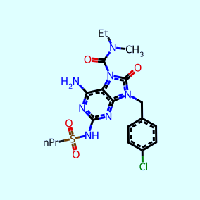 CCCS(=O)(=O)Nc1nc(N)c2c(n1)n(Cc1ccc(Cl)cc1)c(=O)n2C(=O)N(C)CC